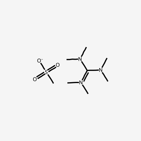 CN(C)C(N(C)C)=[N+](C)C.CS(=O)(=O)[O-]